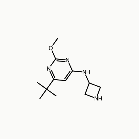 COc1nc(NC2CNC2)cc(C(C)(C)C)n1